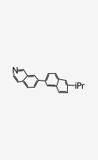 CC(C)c1ccc2cc(-c3ccc4ccncc4c3)ccc2c1